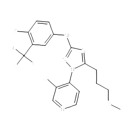 COCCCc1nc(Nc2ccc(F)c(C(F)(F)F)c2)nn1-c1ccncc1Cl